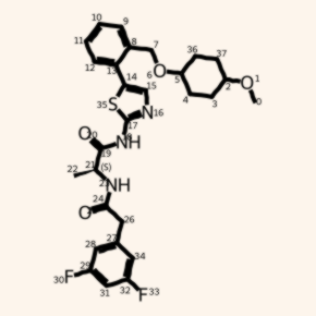 COC1CCC(OCc2ccccc2-c2cnc(NC(=O)[C@H](C)NC(=O)Cc3cc(F)cc(F)c3)s2)CC1